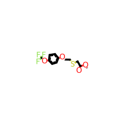 COC(=O)CSCCOc1ccc(OC(F)(F)F)cc1